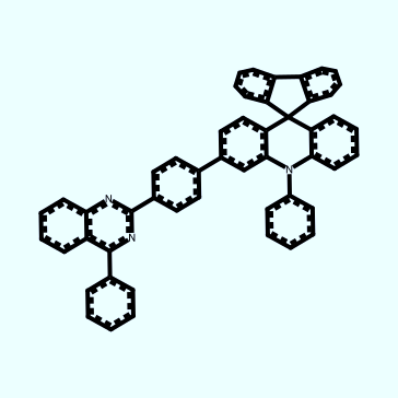 c1ccc(-c2nc(-c3ccc(-c4ccc5c(c4)N(c4ccccc4)c4ccccc4C54c5ccccc5-c5ccccc54)cc3)nc3ccccc23)cc1